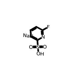 O=S(=O)(O)c1cccc(F)n1.[NaH]